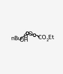 CCCCC(O)CCCOc1cccc(OCc2ccc(C=CC(=O)OCC)cc2)c1